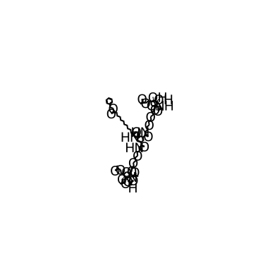 CC(=O)N[C@@H]1C(OCCOCCOCCNC(=O)c2cc(NC(=O)CCCCCCCCCCC(=O)OCc3ccccc3)cc(C(=O)NCCOCCOCCOC3O[C@H](COC(C)=O)[C@H](OC(C)=O)[C@H](OC(C)=O)[C@H]3NC(C)=O)c2)O[C@@H](COC(C)=O)[C@@H](O)[C@H]1O